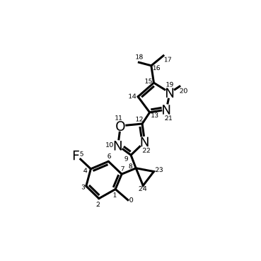 Cc1ccc(F)cc1C1(c2noc(-c3cc(C(C)C)n(C)n3)n2)CC1